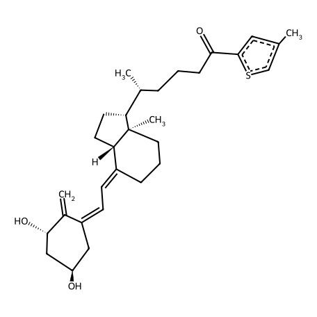 C=C1/C(=C\C=C2/CCC[C@]3(C)[C@@H]([C@H](C)CCCC(=O)c4cc(C)cs4)CC[C@@H]23)C[C@@H](O)C[C@@H]1O